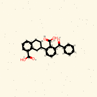 O=C(O)c1cccc2c1CC(c1cccc(C(=O)c3ccccc3)c1C(=O)O)CC2